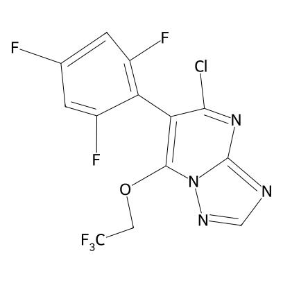 Fc1cc(F)c(-c2c(Cl)nc3ncnn3c2OCC(F)(F)F)c(F)c1